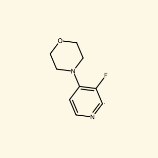 Fc1[c]nccc1N1CCOCC1